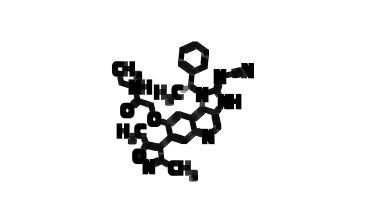 CCNC(=O)COc1cc2c(cc1-c1c(C)noc1C)ncc1[nH]c(=NC#N)n([C@H](C)c3ccccc3)c12